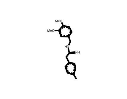 COc1ccc(CNC(=N)Cc2ccc(C)cc2)cc1OC